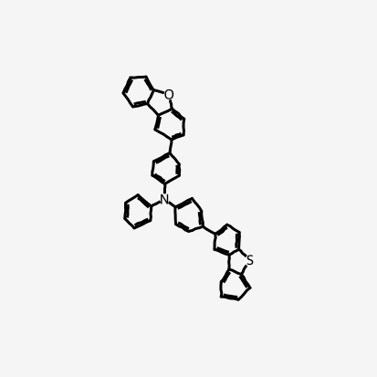 c1ccc(N(c2ccc(-c3ccc4oc5ccccc5c4c3)cc2)c2ccc(-c3ccc4sc5ccccc5c4c3)cc2)cc1